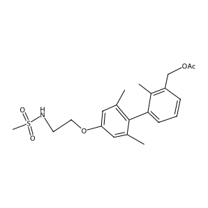 CC(=O)OCc1cccc(-c2c(C)cc(OCCNS(C)(=O)=O)cc2C)c1C